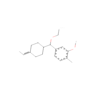 CCOC(=O)C=C1CCC(C(OCOC)c2ccc(C)c(OC(C)C)c2)CC1